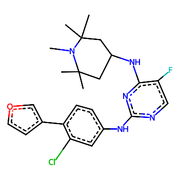 CN1C(C)(C)CC(Nc2nc(Nc3ccc(-c4ccoc4)c(Cl)c3)ncc2F)CC1(C)C